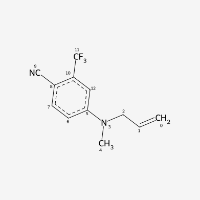 C=CCN(C)c1ccc(C#N)c(C(F)(F)F)c1